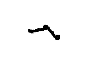 [N-]=[N+]=NCCCCOCCCc1ccc[n+](CCCCOCCCc2cccnc2)c1